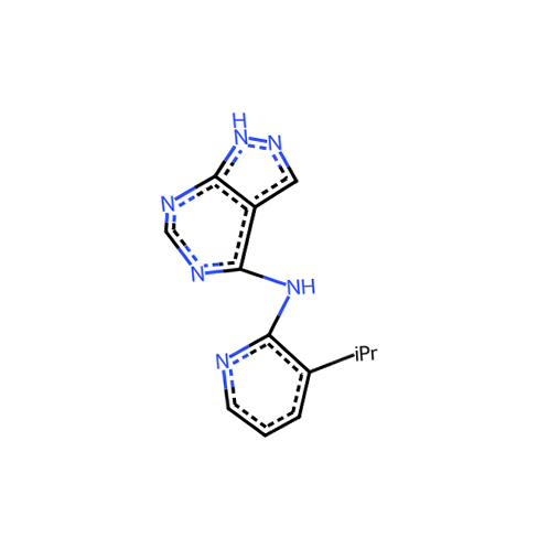 CC(C)c1cccnc1Nc1ncnc2[nH]ncc12